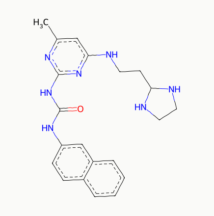 Cc1cc(NCCC2NCCN2)nc(NC(=O)Nc2ccc3ccccc3c2)n1